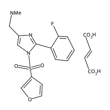 CNCc1cn(S(=O)(=O)c2ccoc2)c(-c2ccccc2F)n1.O=C(O)C=CC(=O)O